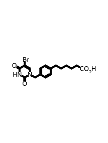 O=C(O)CCCCCc1ccc(Cn2cc(Br)c(=O)[nH]c2=O)cc1